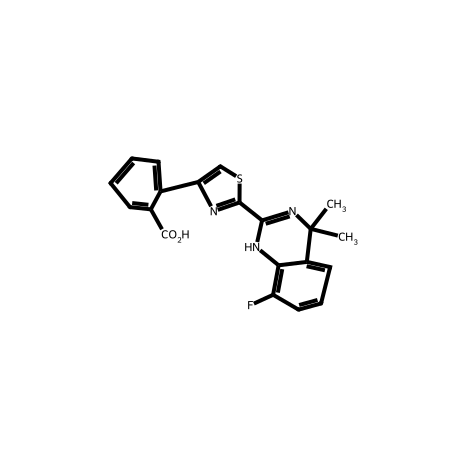 CC1(C)N=C(c2nc(-c3ccccc3C(=O)O)cs2)Nc2c(F)cccc21